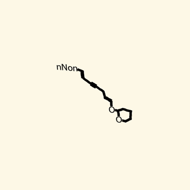 CCCCCCCCCC=CC#CCC=COC1CCCCO1